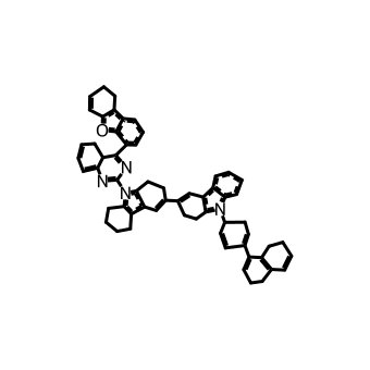 C1=CCC2C(=C1)N=C(n1c3c(c4c1CCCC4)C=C(C1=Cc4c(n(C5C=CC(C6=CCCC7=C6CCC=C7)=CC5)c5ccccc45)CC1)CC3)N=C2c1cccc2c3c(oc12)C=CCC3